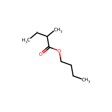 C[CH]C(C)C(=O)OCCCC